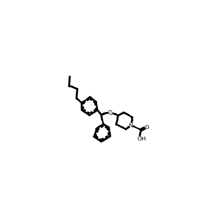 CCCCc1ccc(C(OC2CCN(C(=O)O)CC2)c2ccccc2)cc1